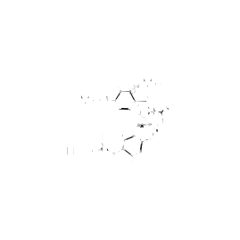 COc1ccc(CN2C(=O)CN(Cc3ccc(CNC(=O)O)cc3)S2(=O)=O)c(OC)c1